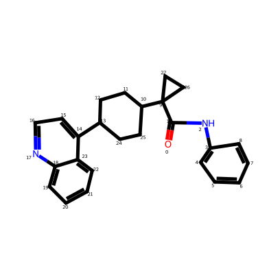 O=C(Nc1ccccc1)C1(C2CCC(c3ccnc4ccccc34)CC2)CC1